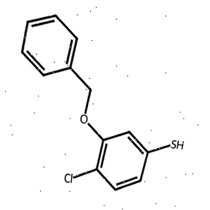 Sc1ccc(Cl)c(OCc2ccccc2)c1